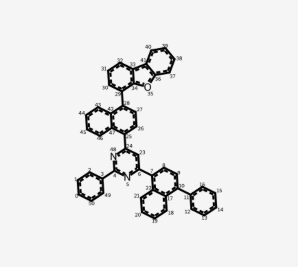 c1ccc(-c2nc(-c3ccc(-c4ccccc4)c4ccccc34)cc(-c3ccc(-c4cccc5c4oc4ccccc45)c4ccccc34)n2)cc1